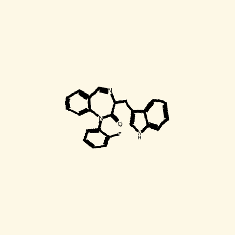 O=C1C(Cc2c[nH]c3ccccc23)N=Cc2ccccc2N1c1ccccc1F